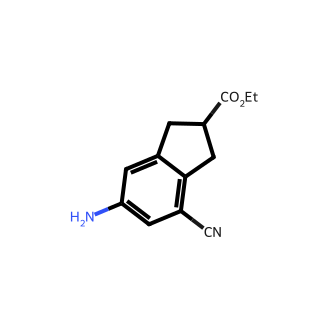 CCOC(=O)C1Cc2cc(N)cc(C#N)c2C1